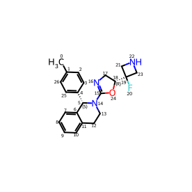 Cc1ccc([C@H]2c3ccccc3CCN2C2=NC[C@H](C3(F)CNC3)O2)cc1